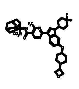 O=C(NC1(C(=O)O)C2CC3CC(C2)CC1C3)c1cnc(-c2cn(C3CCC(F)(F)CC3)c3cc(OC4CCN(C5COC5)CC4)ccc23)nc1C(F)(F)F